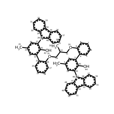 Cc1cc(-c2ccccc2OCC(C)COc2ccccc2-c2cc(C)cc(-n3c4ccccc4c4ccccc43)c2O)c(O)c(-n2c3ccccc3c3ccccc32)c1